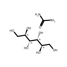 NC(N)=O.OC[C@@H](O)[C@@H](O)[C@H](O)[C@H](O)CO